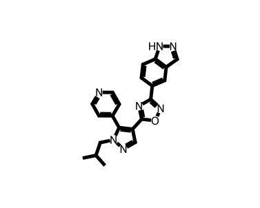 CC(C)Cn1ncc(-c2nc(-c3ccc4[nH]ncc4c3)no2)c1-c1ccncc1